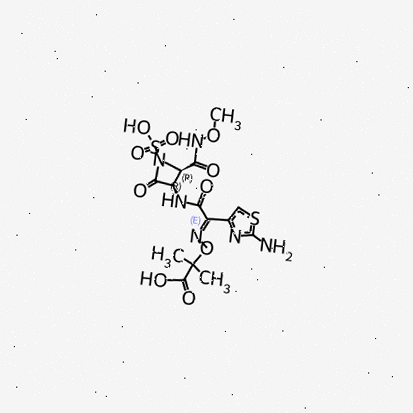 CONC(=O)[C@H]1[C@@H](NC(=O)/C(=N/OC(C)(C)C(=O)O)c2csc(N)n2)C(=O)N1S(=O)(=O)O